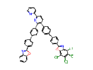 Clc1c(Cl)c(Cl)c2oc(-c3ccc(-c4ccc(-c5ccc(-c6ccccn6)nc5-c5ccc(-c6ccc(-c7nc8ccccc8o7)cc6)cc5)cc4)cc3)nc2c1Cl